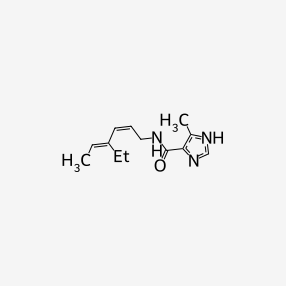 C/C=C(/C=C\CNC(=O)c1nc[nH]c1C)CC